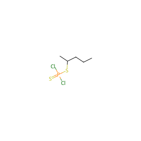 CCCC(C)SP(=S)(Cl)Cl